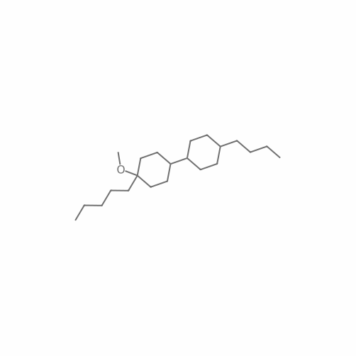 CCCCCC1(OC)CCC(C2CCC(CCCC)CC2)CC1